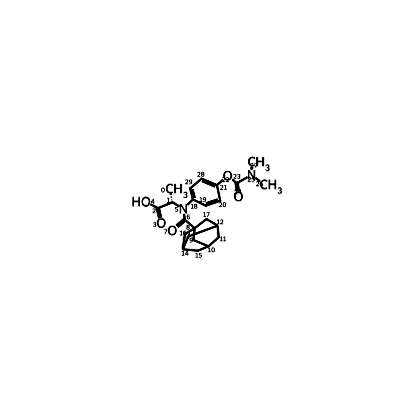 C[C@@H](C(=O)O)N(C(=O)C12CC3CC(CC(C3)C1)C2)c1ccc(OC(=O)N(C)C)cc1